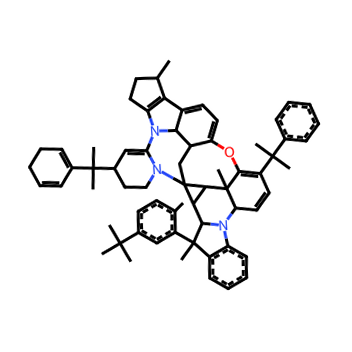 Cc1ccc(C(C)(C)C)cc1C1(C)c2ccccc2N2C1C1C3C4(C)C(=C(C(C)(C)c5ccccc5)C=CC24)OC2=CC=C4C5=C(CCC5C)N5C6=CC(C(C)(C)C7=CCCC=C7)CCN6C13CC2C45